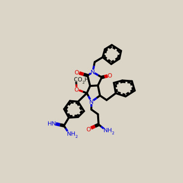 N=C(N)c1ccc(C2(OC(=O)O)C3C(=O)N(Cc4ccccc4)C(=O)C3C(Cc3ccccc3)N2CCC(N)=O)cc1